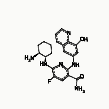 NC(=O)c1cc(F)c(N[C@@H]2CCCC[C@@H]2N)nc1Nc1cc(O)c2ncccc2c1